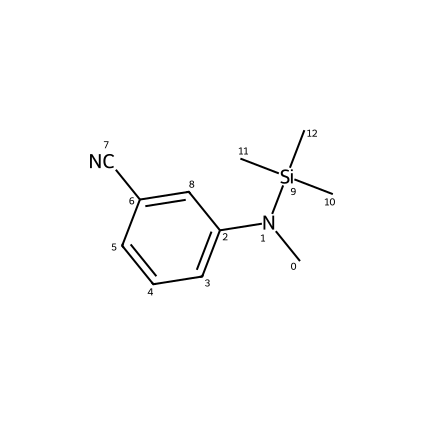 CN(c1cccc(C#N)c1)[Si](C)(C)C